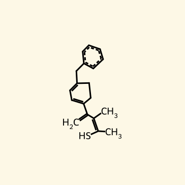 C=C(C1=CC=C(Cc2ccccc2)CC1)/C(C)=C(/C)S